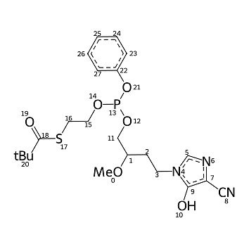 COC(CCn1cnc(C#N)c1O)COP(OCCSC(=O)C(C)(C)C)Oc1ccccc1